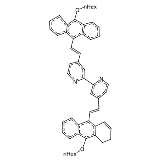 CCCCCCOc1c2c(c(/C=C/c3ccnc(-c4cc(/C=C/c5c6ccccc6c(OCCCCCC)c6ccccc56)ccn4)c3)c3ccccc13)C=CCC2